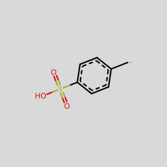 [CH2]c1ccc(S(=O)(=O)O)cc1